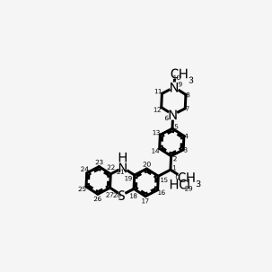 CC(c1ccc(N2CCN(C)CC2)cc1)c1ccc2c(c1)Nc1ccccc1S2.Cl